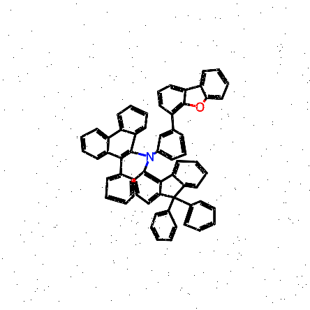 c1ccc(-c2c(N(c3cccc(-c4cccc5c4oc4ccccc45)c3)c3cccc4c3-c3ccccc3C4(c3ccccc3)c3ccccc3)c3ccccc3c3ccccc23)cc1